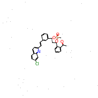 CC(=O)c1ccccc1CC[C@H](OS(C)(=O)=O)c1cccc(/C=C/c2ccc3ccc(Cl)cc3n2)c1